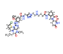 CC[C@@H]1C(=O)N(C)c2cnc(Nc3ccc(C(=O)NCc4cn(CCNCCCC(=O)Nc5cccc6c5CN(C5CCC(=O)NC5=O)C6=O)nn4)cc3OC)nc2N1Cc1ccc(Cl)s1